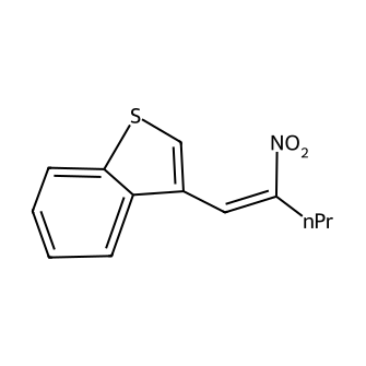 CCCC(=Cc1csc2ccccc12)[N+](=O)[O-]